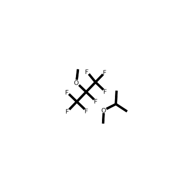 COC(C)C.COC(F)(C(F)(F)F)C(F)(F)F